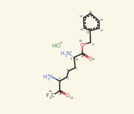 Cl.NC(CCC[C@H](N)C(=O)OCc1ccccc1)C(=O)C(F)(F)F